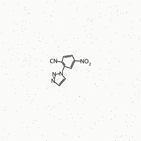 [C-]#[N+]c1ccc([N+](=O)[O-])cc1-n1ccnn1